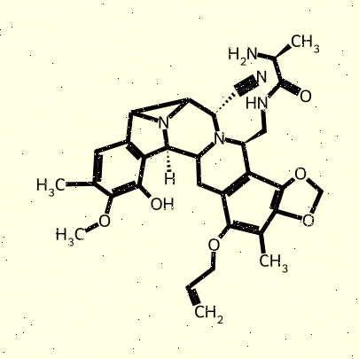 C=CCOc1c(C)c2c(c3c1CC1[C@H]4c5c(cc(C)c(OC)c5O)C5C([C@H](C#N)N1[C@H]3CNC(=O)[C@H](C)N)N54)OCO2